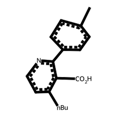 CCCCc1ccnc(-c2ccc(C)cc2)c1C(=O)O